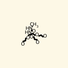 CCNC(=O)NC(CCOCCC=O)(COCCC=O)OCCC=O